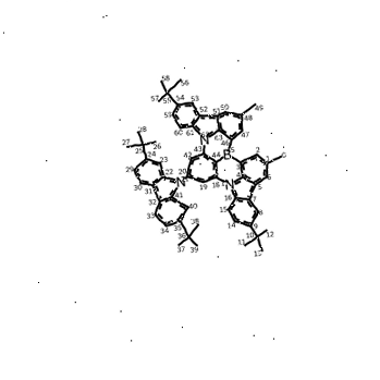 Cc1cc2c3c(c1)c1cc(C(C)(C)C)ccc1n3-c1cc(-n3c4cc(C(C)(C)C)ccc4c4ccc(C(C)(C)C)cc43)cc3c1B2c1cc(C)cc2c4cc(C(C)(C)C)ccc4n-3c12